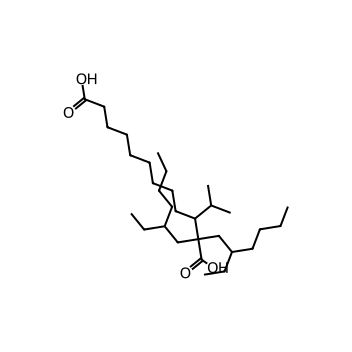 CCCCC(CC)CC(CC(CC)CCCC)(C(=O)O)C(CCCCCCCCC(=O)O)C(C)C